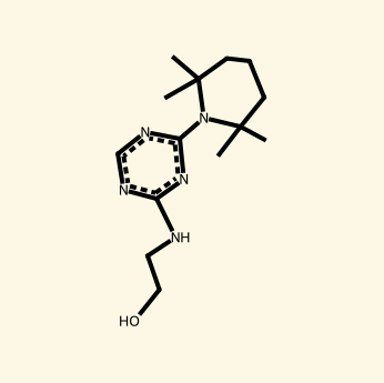 CC1(C)CCCC(C)(C)N1c1ncnc(NCCO)n1